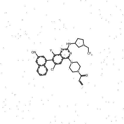 C=CC(=O)N1CCN(c2nc(NC3CCN(CC(F)(F)F)C3)nc3c(F)c(-c4cc(N=O)cc5ccccc45)c(Cl)cc23)CC1